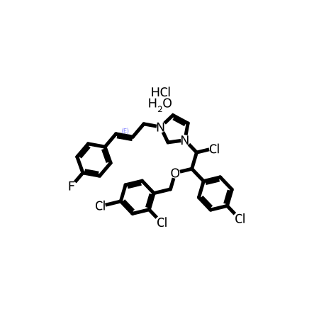 Cl.Fc1ccc(/C=C/CN2C=CN(C(Cl)C(OCc3ccc(Cl)cc3Cl)c3ccc(Cl)cc3)C2)cc1.O